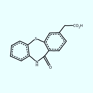 O=C(O)Cc1ccc2c(c1)Sc1ccccc1NC2=O